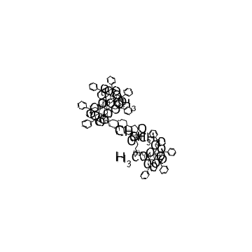 CC1O[C@@H](O[C@@H]2C(COC(=O)c3ccccc3)O[C@@H](OC3CCC4(C)C(CCC5C4CCC4(C)C5CC(=O)C4[C@H](C)C(=O)CC[C@H](C)CO[C@@H]4OC(COC(=O)c5ccccc5)[C@@H](OC(=O)c5ccccc5)C(OC(=O)c5ccccc5)C4OC(=O)c4ccccc4)C3)C(OC(=O)c3ccccc3)C2OC(=O)c2ccccc2)C(OC(=O)c2ccccc2)C(OC(=O)c2ccccc2)[C@H]1OC(=O)c1ccccc1